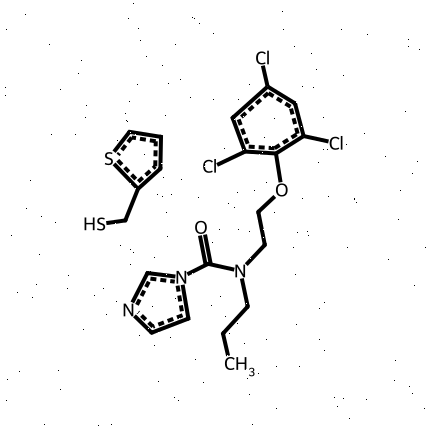 CCCN(CCOc1c(Cl)cc(Cl)cc1Cl)C(=O)n1ccnc1.SCc1cccs1